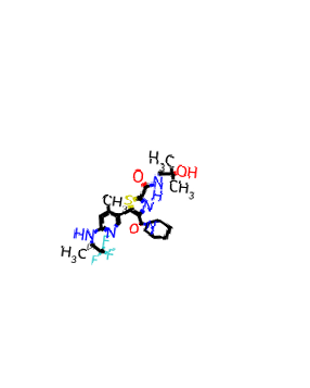 Cc1cc(N[C@@H](C)C(F)(F)F)ncc1-c1sc(C(=O)NCC(C)(C)O)nc1C(=O)N1C2CCC1CC2